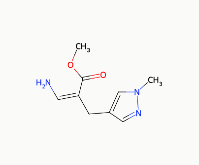 COC(=O)/C(=C\N)Cc1cnn(C)c1